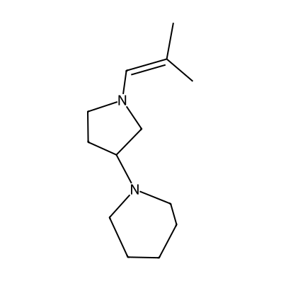 CC(C)=CN1CCC(N2CCCCC2)C1